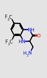 NCC1Nc2c(cc(C(F)(F)F)cc2C(F)(F)F)NC1=O